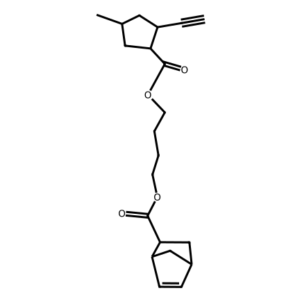 C#CC1CC(C)CC1C(=O)OCCCCOC(=O)C1CC2C=CC1C2